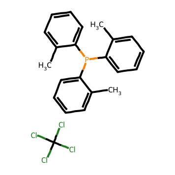 Cc1ccccc1P(c1ccccc1C)c1ccccc1C.ClC(Cl)(Cl)Cl